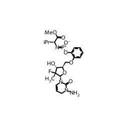 COC(=O)[C@@H](N=[P+]([O-])Oc1ccccc1OC[C@H]1O[C@@H](N2C=CCN(N)C2=O)[C@](C)(F)[C@@H]1O)C(C)C